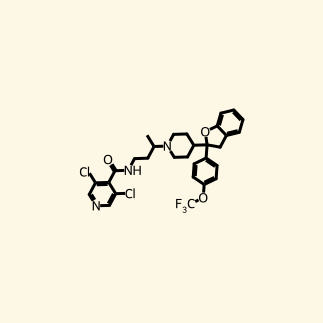 CC(CCNC(=O)c1c(Cl)cncc1Cl)N1CCC(C2(c3ccc(OC(F)(F)F)cc3)Cc3ccccc3O2)CC1